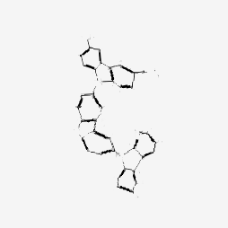 N#Cc1ccc2c(c1)c1cc(C#N)ccc1n2-c1ccc2oc3ccc(-n4c5ccccc5c5cccnc54)cc3c2c1